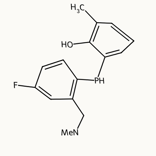 CNCc1cc(F)ccc1Pc1cccc(C)c1O